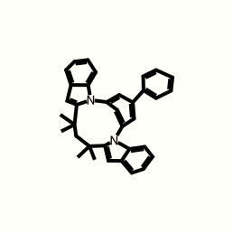 CC1(C)CC(C)(C)c2cc3ccccc3n2-c2cc(-c3ccccc3)cc(c2)-n2c1cc1ccccc12